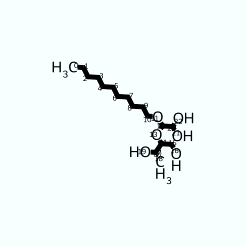 CCCCCCCCCCCOC(OC(CO)[C@H](C)O)C(O)O